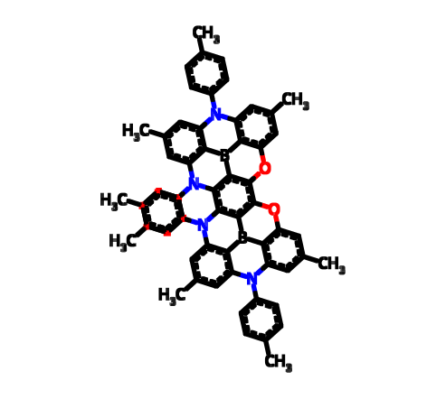 Cc1ccc(N2c3cc(C)cc4c3B3c5c2cc(C)cc5N(c2ccc(C)cc2)c2c3c(c3c5c2N(c2ccc(C)cc2)c2cc(C)cc6c2B5c2c(cc(C)cc2N6c2ccc(C)cc2)O3)O4)cc1